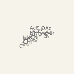 CC(=O)O[C@@H]1[C@@H](OC(C)=O)[C@H](n2cnc3c(Nc4ccc(Cl)cc4F)ncnc32)O[C@@H]1c1cc(Br)no1